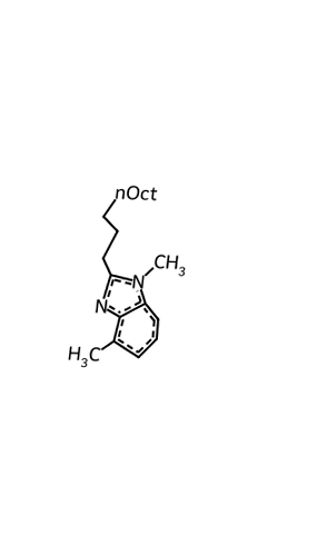 CCCCCCCCCCCc1nc2c(C)cccc2n1C